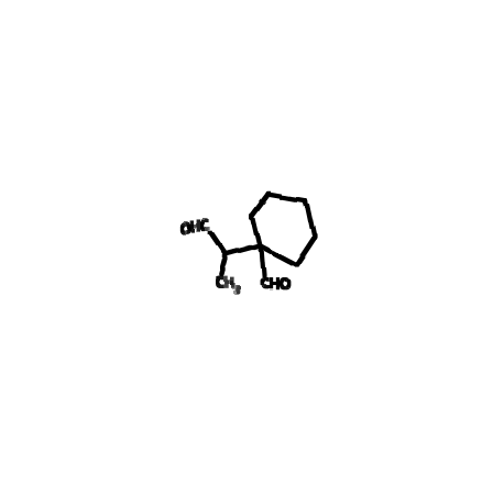 CC(C=O)C1(C=O)CCCCC1